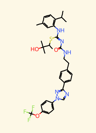 Cc1ccc(C(C)C)c(N/C(=N/C(=O)NCCc2ccc(-c3ncn(-c4ccc(OC(F)(F)F)cc4)n3)cc2)SC(C)C(C)(C)O)c1